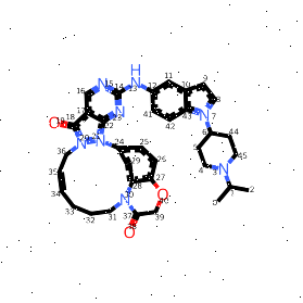 CC(C)N1CCC(n2ccc3cc(Nc4ncc5c(=O)n6n(c5n4)-c4ccc5c(c4)N(CCC/C=C\C6)C(=O)CO5)ccc32)CC1